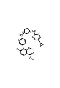 COC(=O)c1ccc(F)c(-c2ccc(N[C@H]3CC[C@H](Nc4ncc(C5CC5)nn4)C3)nc2)c1OC